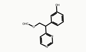 O=COCC(c1cccc(O)c1)c1ccncn1